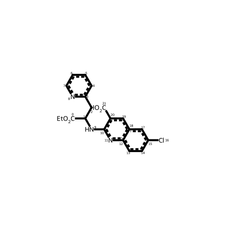 CCOC(=O)C(Cc1ccccn1)Nc1nc2ccc(Cl)cc2cc1C(=O)O